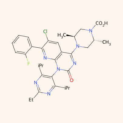 CCc1nc(C(C)C)c(-n2c(=O)nc(N3C[C@@H](C)N(C(=O)O)C[C@@H]3C)c3cc(Cl)c(-c4ccccc4F)nc32)c(C(C)C)n1